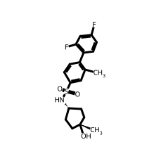 Cc1cc(S(=O)(=O)N[C@H]2CC[C@@](C)(O)CC2)ccc1-c1ccc(F)cc1F